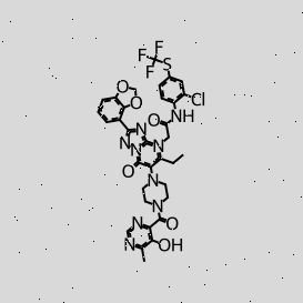 CCc1c(N2CCN(C(=O)c3ncnc(C)c3O)CC2)c(=O)n2nc(-c3cccc4c3OCO4)nc2n1CC(=O)Nc1ccc(SC(F)(F)F)cc1Cl